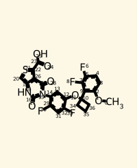 COc1ccc(F)c(F)c1C1(Oc2cc(-n3c(=O)[nH]c4csc(C(=O)O)c4c3=O)c(F)cc2F)CCC1